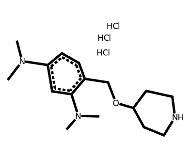 CN(C)c1ccc(COC2CCNCC2)c(N(C)C)c1.Cl.Cl.Cl